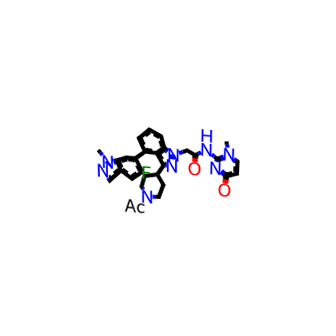 CC(=O)N1CCC(c2nn(CC(=O)Nc3nc(=O)ccn3C)c3cccc(-c4cc5c(cnn5C)cc4F)c23)CC1